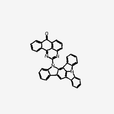 O=C1c2ccccc2-c2nc(-n3c4ccccc4c4cc5c6ccccc6n6c7ccccc7c(c43)c56)nc3cccc1c23